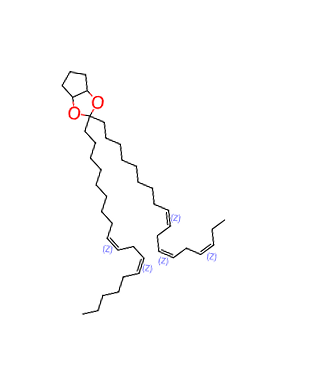 CC/C=C\C/C=C\C/C=C\CCCCCCCCC1(CCCCCCCC/C=C\C/C=C\CCCCC)OC2CCCC2O1